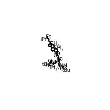 CCC(CCCC1CCC2C3CC=C4CC(OC(=O)CCC(=O)N(CCC(C)NC(=O)OC(C)(C)C)CCC(C)NC(=O)OC(C)(C)C)CCC4(C)C3CCC12C)C(C)C